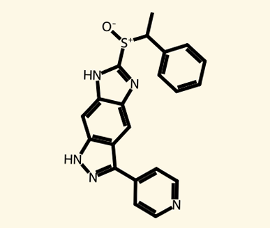 CC(c1ccccc1)[S+]([O-])c1nc2cc3c(-c4ccncc4)n[nH]c3cc2[nH]1